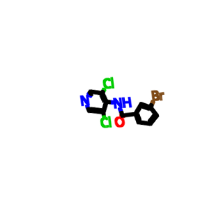 O=C(Nc1c(Cl)cncc1Cl)c1cccc(Br)c1